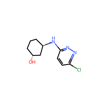 O[C@@H]1CCC[C@@H](Nc2ccc(Cl)nn2)C1